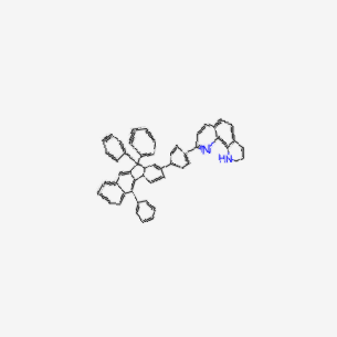 C1=Cc2ccc3ccc(-c4ccc(C5=CC6C(C=C5)c5c(cc7ccccc7c5-c5ccccc5)C6(c5ccccc5)c5ccccc5)cc4)nc3c2NC1